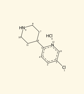 Cl.Clc1ccc(C2CCNCC2)nc1